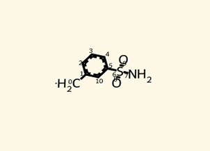 [CH2]c1cccc(S(N)(=O)=O)c1